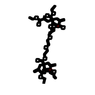 C=C(CC(CC(=C)C(=O)OCC)(C(=O)OCC)C(=O)OCCOCCOCCOC(=O)C(CC(=C)C(=O)OCC)(CC(=C)C(=O)OCC)C(=O)OCC)C(=O)OCC